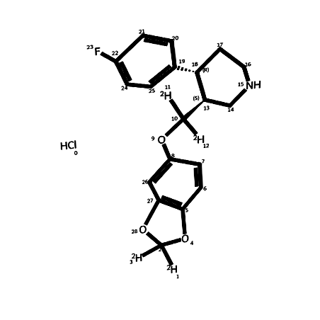 Cl.[2H]C1([2H])Oc2ccc(OC([2H])([2H])[C@@H]3CNCC[C@H]3c3ccc(F)cc3)cc2O1